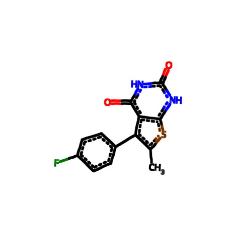 Cc1sc2[nH]c(=O)[nH]c(=O)c2c1-c1ccc(F)cc1